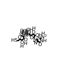 Nc1nc2c(ncn2C2OC(COP(=O)(O)OP(=O)(O)OC3OC(CS)C(O)C(O)C3O)C(O)C2O)c(=O)[nH]1